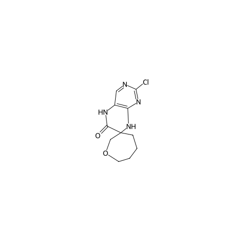 O=C1Nc2cnc(Cl)nc2NC12CCCCOC2